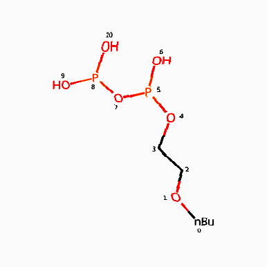 CCCCOCCOP(O)OP(O)O